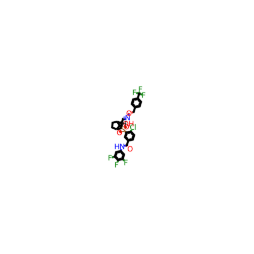 O=C(Nc1cc(F)c(F)c(F)c1)c1ccc(Cl)c(S(=O)(=O)[C@@H]2C3CCC2[C@@](O)(/C=N/OCc2ccc(C(F)(F)F)cc2)C3)c1